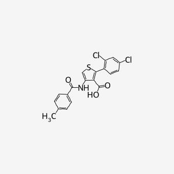 Cc1ccc(C(=O)Nc2csc(-c3ccc(Cl)cc3Cl)c2C(=O)O)cc1